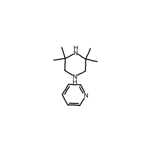 CC1(C)CNCC(C)(C)N1.c1ccncc1